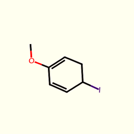 COC1=CCC(I)C=C1